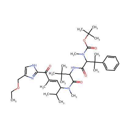 CCOCc1c[nH]c(C(=O)C(C)=CC(C(C)C)N(C)C(=O)C(NC(=O)C(N(C)C(=O)OC(C)(C)C)C(C)(C)c2ccccc2)C(C)(C)C)n1